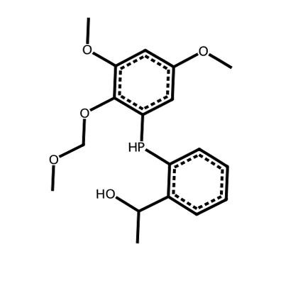 COCOc1c(OC)cc(OC)cc1Pc1ccccc1C(C)O